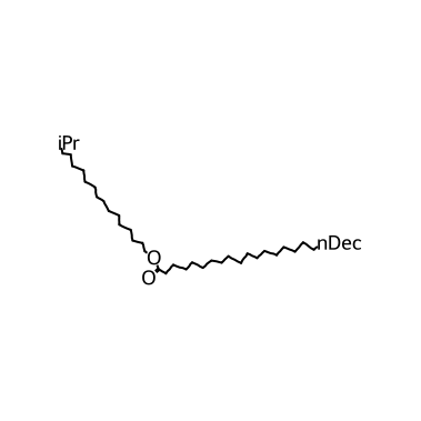 CCCCCCCCCCCCCCCCCCCCCCCCCCCC(=O)OCCCCCCCCCCCCCCCC(C)C